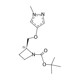 Cn1cc(OC[C@@H]2CCN2C(=O)OC(C)(C)C)cn1